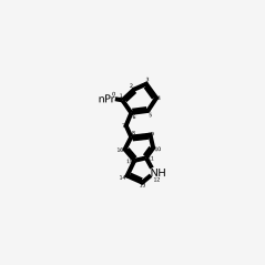 CCCc1ccccc1Cc1ccc2[nH]ccc2c1